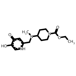 CCOC(=O)N1CCC(N(C)Cc2cc(=O)c(O)c[nH]2)CC1